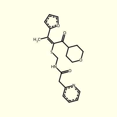 C/C(=C(\SCNC(=O)Cc1ccccn1)C(=O)C1CCOCC1)c1ccco1